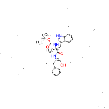 CCCCCCCC[C@H](C)OC(=O)N[C@](C)(Cc1c[nH]c2ccccc12)C(=O)N[C@@H](CO)Cc1ccccc1